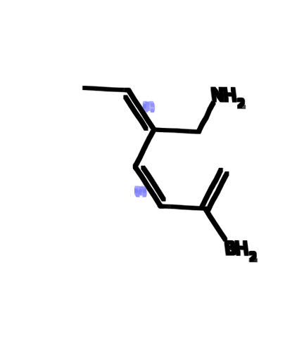 BC(=C)/C=C\C(=C/C)CN